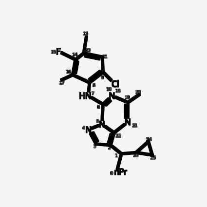 CCCC(c1cnn2c(Nc3c(Cl)cc(C)c(F)c3C)nc(C)nc12)C1CC1